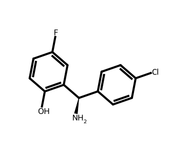 N[C@H](c1ccc(Cl)cc1)c1cc(F)ccc1O